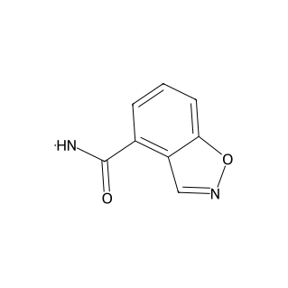 [NH]C(=O)c1cccc2oncc12